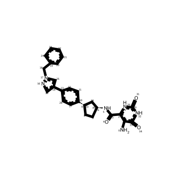 Nc1c(C(=O)N[C@@H]2CC[C@H](c3ccc(-c4cnn(Cc5ccccc5)c4)cc3)C2)[nH]c(=O)[nH]c1=O